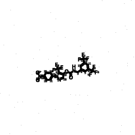 O=C(NCc1cc(C(F)(F)F)cc(C(F)(F)F)c1)Oc1cnn(-c2ccc([N+](=O)[O-])cc2)c1C(F)(F)F